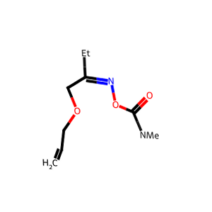 C=CCOCC(CC)=NOC(=O)NC